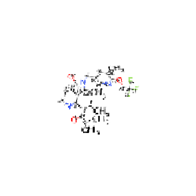 CCC(C(=O)C(C)C)c1nccc2c1C(C)N(Cc1cnc(OCC(F)(F)F)c(C)c1)C2=O